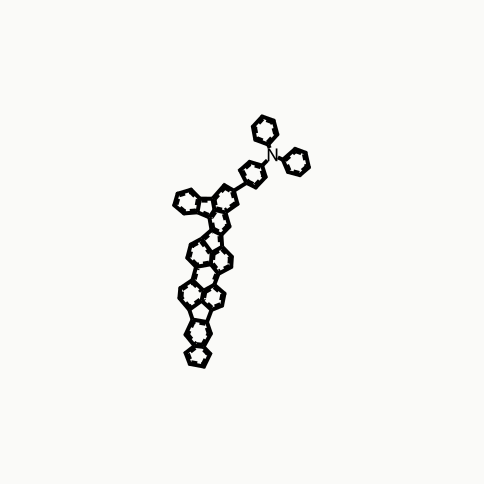 c1ccc(N(c2ccccc2)c2ccc(-c3cc4cc5c6ccc7c8ccc9c%10c(ccc(c%11ccc(c6c7%11)c5c5c6ccccc6c(c3)c45)c%108)-c3cc4ccccc4cc3-9)cc2)cc1